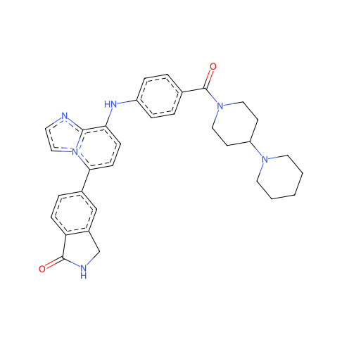 O=C1NCc2cc(-c3ccc(Nc4ccc(C(=O)N5CCC(N6CCCCC6)CC5)cc4)c4nccn34)ccc21